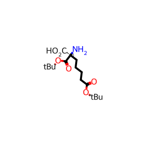 CC(C)(C)OC(=O)CCCC[C@@](N)(C(=O)O)C(=O)OC(C)(C)C